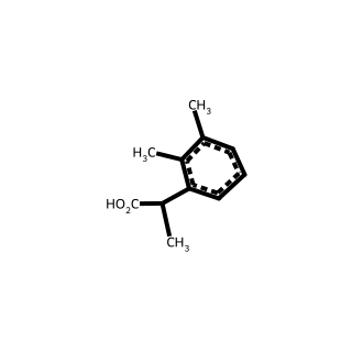 Cc1cccc(C(C)C(=O)O)c1C